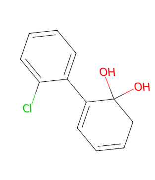 OC1(O)CC=CC=C1c1ccccc1Cl